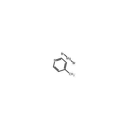 [Br][Mg][Br].[CH2]c1ccncc1